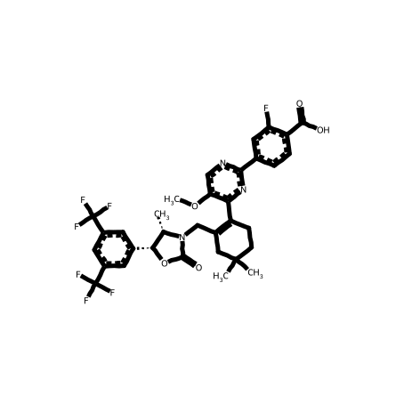 COc1cnc(-c2ccc(C(=O)O)c(F)c2)nc1C1=C(CN2C(=O)O[C@H](c3cc(C(F)(F)F)cc(C(F)(F)F)c3)[C@@H]2C)CC(C)(C)CC1